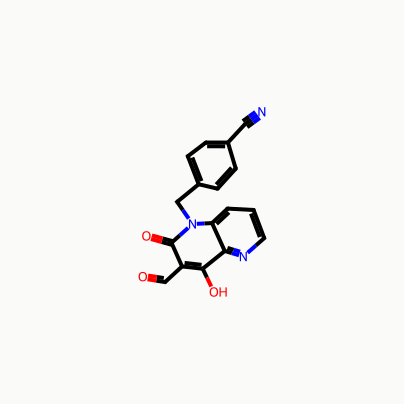 N#Cc1ccc(Cn2c(=O)c(C=O)c(O)c3ncccc32)cc1